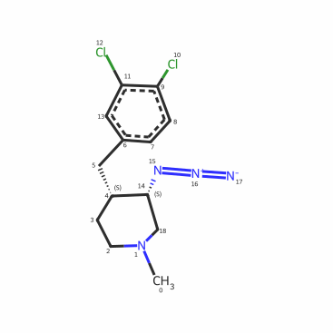 CN1CC[C@H](Cc2ccc(Cl)c(Cl)c2)[C@H](N=[N+]=[N-])C1